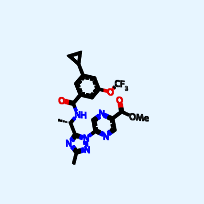 COC(=O)c1cnc(-n2nc(C)nc2[C@H](C)NC(=O)c2cc(OC(F)(F)F)cc(C3CC3)c2)cn1